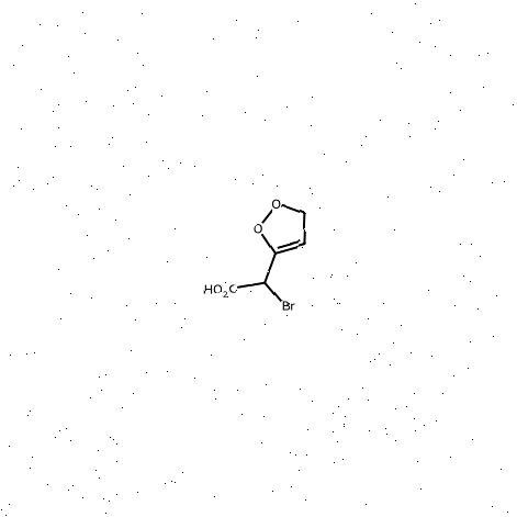 O=C(O)C(Br)C1=CCOO1